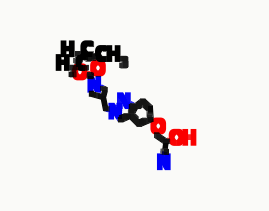 CC(C)(C)OC(=O)N1CC(Cn2cc3cc(OCC(O)C#N)ccc3n2)C1